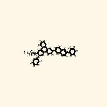 CNC1=CC2=C(CC1c1ccccc1)c1ccc(-c3ccc4cc(-c5ccccc5)ccc4c3)cc1C1C=CC=CC21